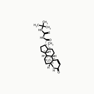 CC(C)(C)NC(=S)NC(=O)[C@H]1CC[C@H]2[C@@H]3CC[C@H]4NC(=O)C=C[C@]4(C)[C@H]3CC[C@]12C